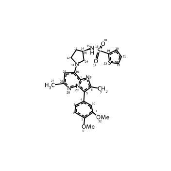 COc1ccc(-c2c(C)nc3c(N4CC[C@@H](NS(=O)(=O)c5cccs5)C4)cc(C)nn23)cc1OC